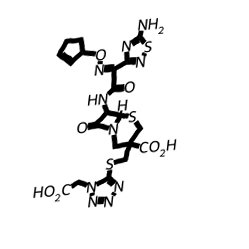 Nc1nc(C(=NOC2C=CCC2)C(=O)NC2C(=O)N3CC(CSc4nnnn4CC(=O)O)(C(=O)O)CS[C@H]23)ns1